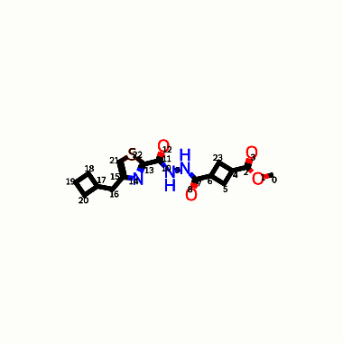 COC(=O)C1CC(C(=O)NNC(=O)c2nc(CC3CCC3)cs2)C1